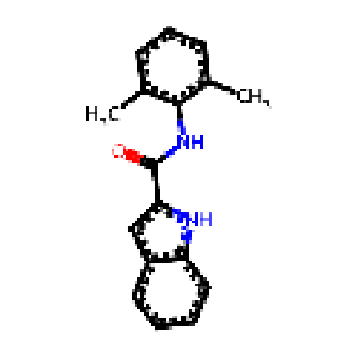 Cc1cccc(C)c1NC(=O)c1cc2ccccc2[nH]1